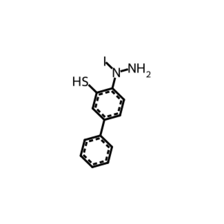 NN(I)c1ccc(-c2ccccc2)cc1S